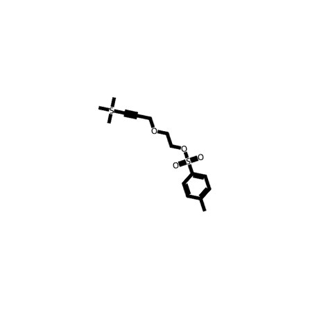 Cc1ccc(S(=O)(=O)OCCOCC#CS(C)(C)C)cc1